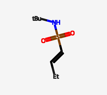 CC/C=C/S(=O)(=O)NC(C)(C)C